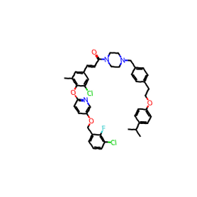 Cc1cc(/C=C/C(=O)N2CCN(Cc3ccc(CCOc4ccc(C(C)C)cc4)cc3)CC2)cc(Cl)c1Oc1ccc(OCc2cccc(Cl)c2F)cn1